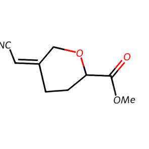 COC(=O)C1CC/C(=C/C#N)CO1